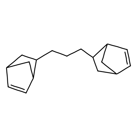 C1=CC2CC1CC2CCCC1CC2C=CC1C2